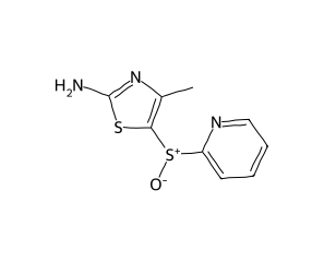 Cc1nc(N)sc1[S+]([O-])c1ccccn1